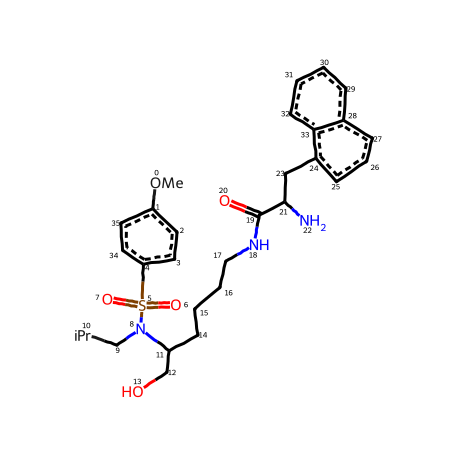 COc1ccc(S(=O)(=O)N(CC(C)C)C(CO)CCCCNC(=O)C(N)Cc2cccc3ccccc23)cc1